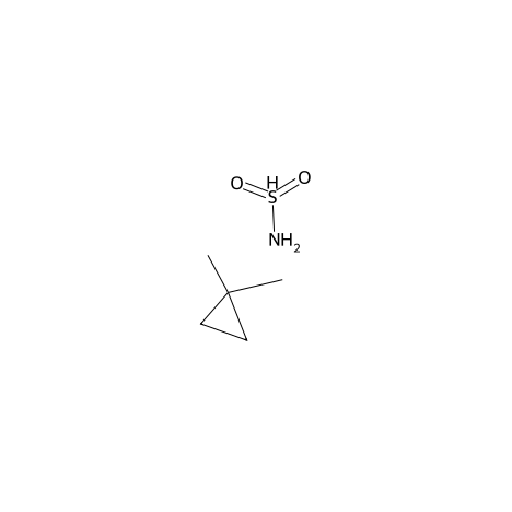 CC1(C)CC1.N[SH](=O)=O